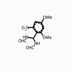 COc1cc(OC)c(C(NC=O)NC=O)c([N+](=O)[O-])c1